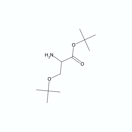 CC(C)(C)OCC(N)C(=O)OC(C)(C)C